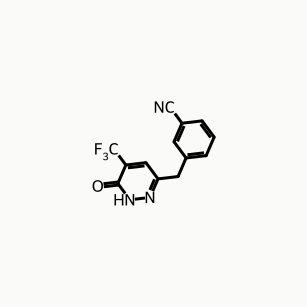 N#Cc1cccc(Cc2cc(C(F)(F)F)c(=O)[nH]n2)c1